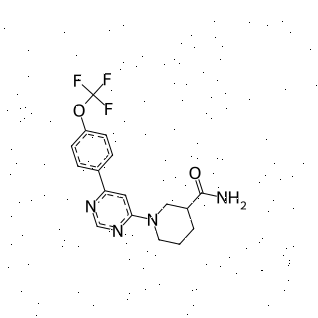 NC(=O)C1CCCN(c2cc(-c3ccc(OC(F)(F)F)cc3)ncn2)C1